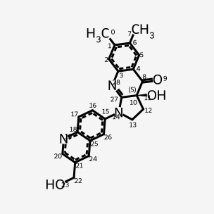 Cc1cc2c(cc1C)C(=O)[C@]1(O)CCN(c3ccc4ncc(CO)cc4c3)C1=N2